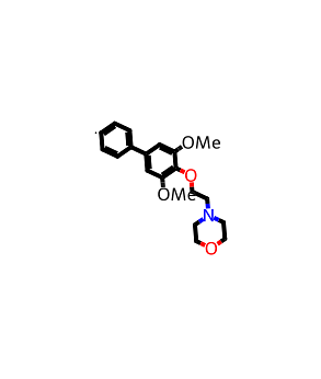 COc1cc(-c2cc[c]cc2)cc(OC)c1OCCN1CCOCC1